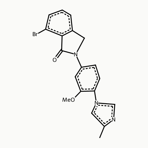 COc1cc(N2Cc3cccc(Br)c3C2=O)ccc1-n1cnc(C)c1